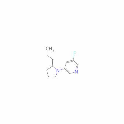 CCC[C@@H]1CC[CH]N1c1cncc(F)c1